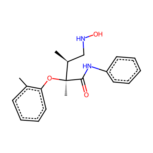 Cc1ccccc1O[C@](C)(C(=O)Nc1ccccc1)[C@@H](C)CNO